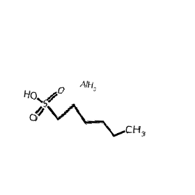 CCCCCCS(=O)(=O)O.[AlH3]